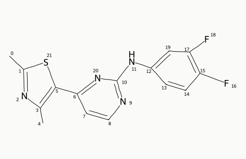 Cc1nc(C)c(-c2ccnc(Nc3ccc(F)c(F)c3)n2)s1